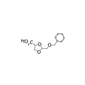 O=C(O)C1COC(COCc2ccccc2)O1